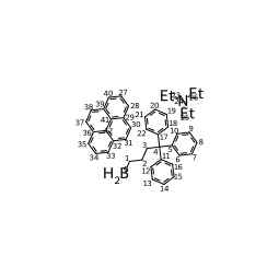 BCCCC(c1ccccc1)(c1ccccc1)c1ccccc1.CCN(CC)CC.c1cc2ccc3cccc4ccc(c1)c2c34